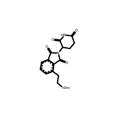 CCCCCCCCCCCCc1cccc2c1C(=O)N(C1CCC(=O)NC1=O)C2=O